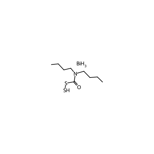 CCCCN(CCCC)C(=O)SS.[BiH3]